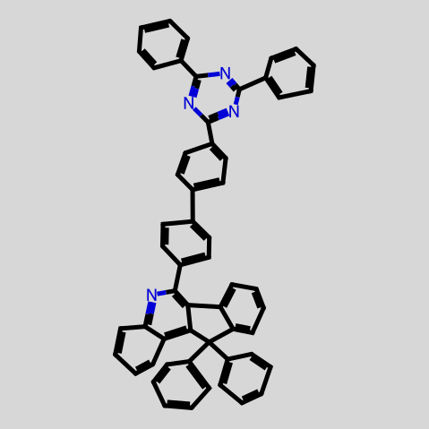 c1ccc(-c2nc(-c3ccccc3)nc(-c3ccc(-c4ccc(-c5nc6ccccc6c6c5-c5ccccc5C6(c5ccccc5)c5ccccc5)cc4)cc3)n2)cc1